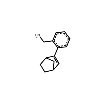 NCc1ccccc1C1=CC2CCC1C2